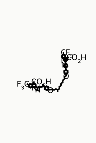 C=N/C(=C\C=C(/C)c1ccc(OCCCC(C)CCCCCCCCOc2ccc(-c3ccc(-c4cc(C(=O)O)c5cc(C(F)(F)F)ccc5n4)nc3)cc2)cc1)c1cc(C(=O)O)c2cc(C(F)(F)F)ccc2n1